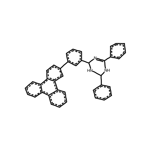 c1ccc(C2=NC(c3cccc(-c4ccc5c6ccccc6c6ccccc6c5c4)c3)NC(c3ccccc3)N2)cc1